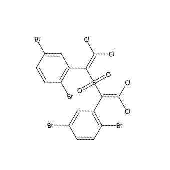 O=S(=O)(C(=C(Cl)Cl)c1cc(Br)ccc1Br)C(=C(Cl)Cl)c1cc(Br)ccc1Br